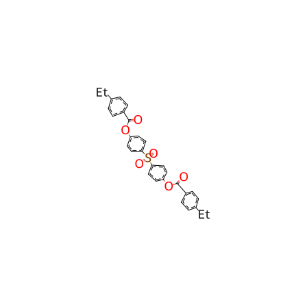 CCc1ccc(C(=O)Oc2ccc(S(=O)(=O)c3ccc(OC(=O)c4ccc(CC)cc4)cc3)cc2)cc1